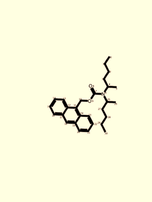 CCCCC(C)N(C(=O)OCc1c2ccccc2cc2ccccc12)C(C)CCCC